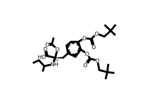 CCC(C)N[C@@](Cc1ccc(OC(=O)OCC(C)(C)C)c(OC(=O)OCC(C)(C)C)c1)(OC(C)=O)C(=O)O